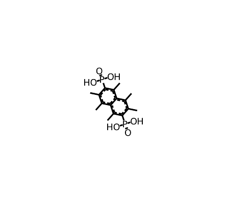 Cc1c(P(=O)(O)O)c(C)c2c(C)c(C)c(P(=O)(O)O)c(C)c2c1C